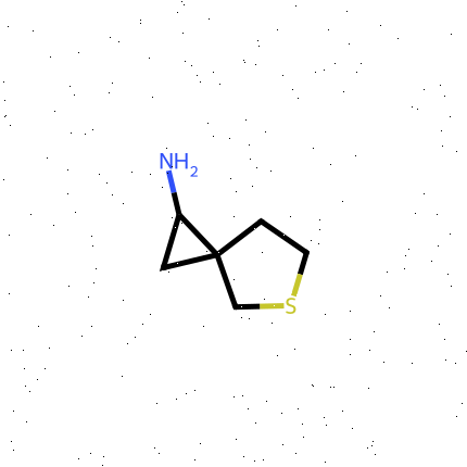 NC1CC12CCSC2